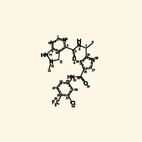 CC(NC(=O)c1ncnc2c1CN(C)N2)c1ncc(C(=O)Nc2ccc(C(F)(F)F)c(Cl)c2)s1